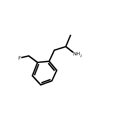 CC(N)Cc1ccccc1CF